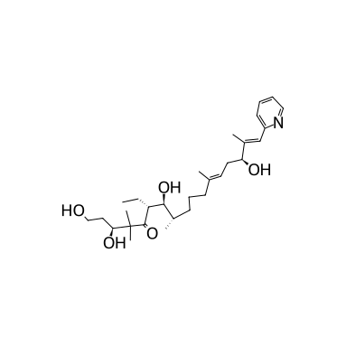 CC[C@@H](C(=O)C(C)(C)[C@@H](O)CCO)[C@@H](O)[C@@H](C)CCC/C(C)=C/C[C@H](O)/C(C)=C/c1ccccn1